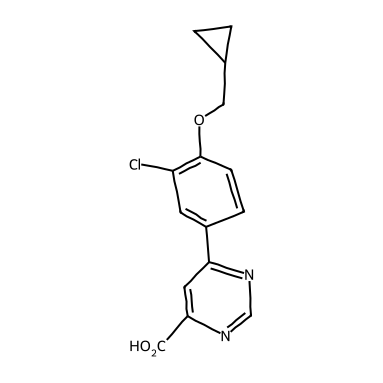 O=C(O)c1cc(-c2ccc(OCC3CC3)c(Cl)c2)ncn1